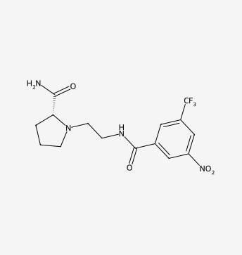 NC(=O)[C@H]1CCCN1CCNC(=O)c1cc([N+](=O)[O-])cc(C(F)(F)F)c1